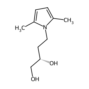 Cc1ccc(C)n1CC[C@H](O)CO